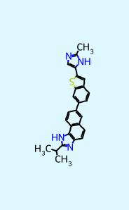 Cc1ncc(-c2cc3ccc(-c4ccc5c(ccc6nc(C(C)C)[nH]c65)c4)cc3s2)[nH]1